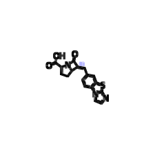 O=C(O)C1=CCC2/C(=C\c3ccc4c(c3)sc3nccn34)C(=O)N12